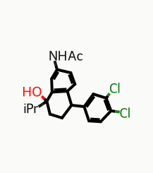 CC(=O)Nc1ccc2c(c1)C(O)(C(C)C)CCC2c1ccc(Cl)c(Cl)c1